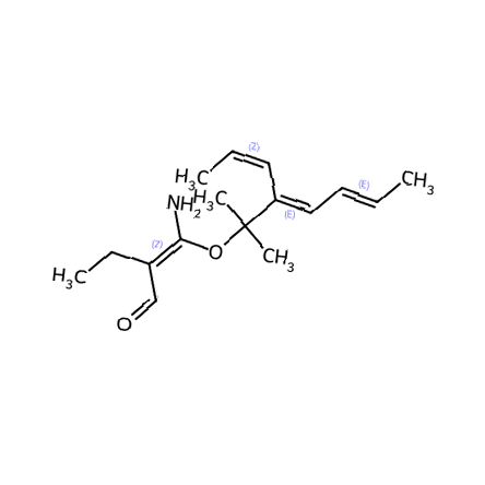 C\C=C/C(=C\C=C\C)C(C)(C)O/C(N)=C(\C=O)CC